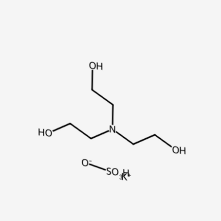 O=S(=O)([O-])O.OCCN(CCO)CCO.[K+]